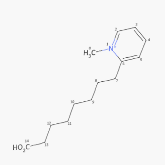 C[n+]1ccccc1CCCCCCCC(=O)O